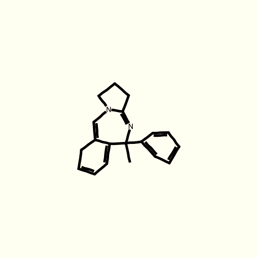 CC1(c2ccccc2)N=C2CCCN2C=C2CC=CC=C21